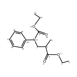 CCOC(=O)C(C)CN(C(=O)OCC)c1ccccc1